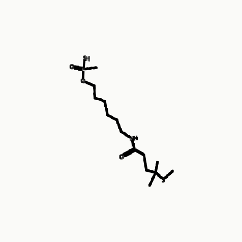 CSC(C)(C)CCC(=O)NCCCCCCOP(C)(=O)S